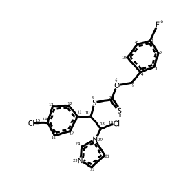 Fc1ccc(COC(=S)SC(c2ccc(Cl)cc2)C(Cl)n2ccnc2)cc1